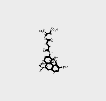 CCN(C)[C@@H]1Cc2ccc(OC)c3c2[C@@]2(C)[C@@H](O3)C(OC(=O)CCC(=O)O[C@H](CC(=O)O)C(=O)O)=CC[C@@]12O